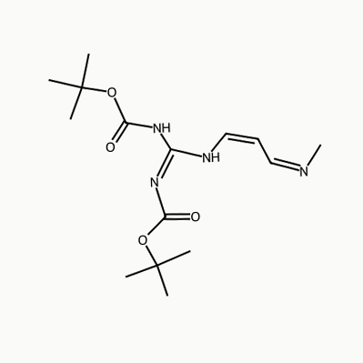 C/N=C\C=C/N/C(=N\C(=O)OC(C)(C)C)NC(=O)OC(C)(C)C